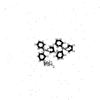 [Fe+2].[PdH2].c1ccc(P(c2ccccc2)[c-]2cccc2)cc1.c1ccc(P(c2ccccc2)[c-]2cccc2)cc1